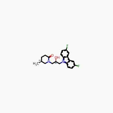 C[C@H]1CCC(=O)N(C[C@@H](O)Cn2c3ccc(F)cc3c3cc(F)ccc32)C1